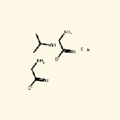 CC(C)O.NCC(=O)[O-].NCC(=O)[O-].[K+].[K+]